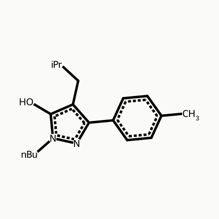 CCCCn1nc(-c2ccc(C)cc2)c(CC(C)C)c1O